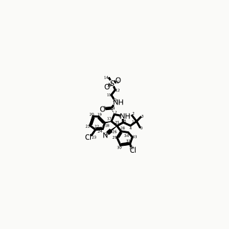 CC(C)(C)CC1N[C@@H](C(=O)NCCS(C)(=O)=O)[C@H](c2cccc(Cl)c2)[C@@]1(C#N)C1=CC=C(Cl)CC1